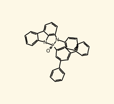 O=P1(c2cc(-c3ccccc3)cc(-c3ccccc3)c2)N(c2ccccc2)c2cccc3c4ccccc4n1c23